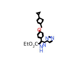 CCOC(=O)c1[nH]nc(-c2ccncn2)c1-c1ccc(OCc2ccc(C3CC3)cc2)cc1